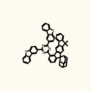 CC1(C)c2ccccc2-c2cc3c(cc21)C1(c2cccc(-c4nc(-c5ccc6sc7ccccc7c6c5)nc(-c5ccc6sc7ccccc7c6c5)n4)c2-3)C2CC3CC(C2)CC1C3